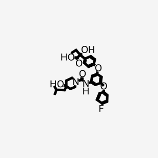 CCC(O)(C(=O)O)c1ccc(Oc2cc(NC(=O)N3CCC(O)(CC(C)C)CC3)cc(Oc3ccc(F)cc3)c2)cc1